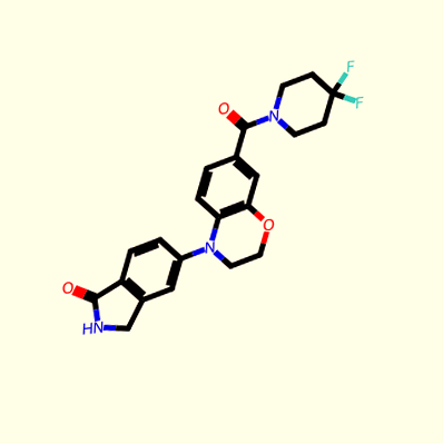 O=C1NCc2cc(N3CCOc4cc(C(=O)N5CCC(F)(F)CC5)ccc43)ccc21